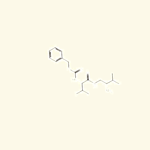 CC(C)[C@H](N)CNC(=O)[C@@H](NC(=O)OCc1ccccc1)C(C)C